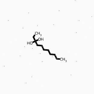 CCCCCCCCC(O)(O)CC